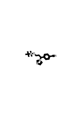 CC(C)(C)[Si](C)(C)OCCC(c1ccc(C#N)cc1)n1ccnc1